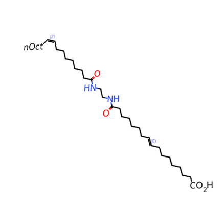 CCCCCCCC/C=C\CCCCCCCC(=O)NCCNC(=O)CCCCCC/C=C/CCCCCCCC(=O)O